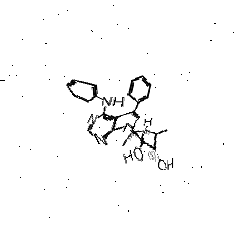 CC1[C@@H]2C(O)([C@H]1O)[C@]2(C)n1cc(-c2ccccc2)c2c(Nc3ccccc3)ncnc21